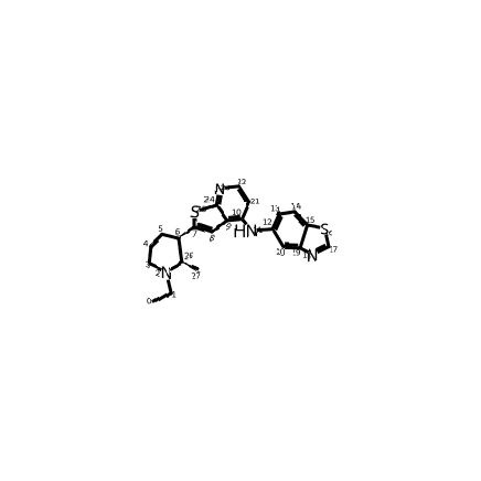 CCN1CCC[C@@H](c2cc3c(Nc4ccc5scnc5c4)ccnc3s2)[C@H]1C